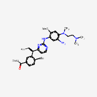 C/C=C(/c1ccnc(Nc2cc(N)c(N(C)CCN(C)C)cc2OC)n1)c1cc(C(=O)OC)ccc1CCCC